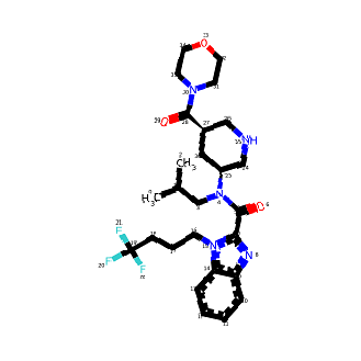 CC(C)CN(C(=O)c1nc2ccccc2n1CCCC(F)(F)F)[C@@H]1CNC[C@H](C(=O)N2CCOCC2)C1